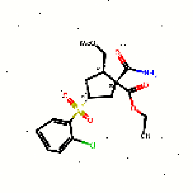 COC[C@@H]1C[C@@H](S(=O)(=O)c2ccccc2Cl)C[C@@]1(C(N)=O)C(=O)OCC#N